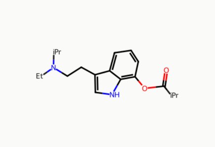 CCN(CCc1c[nH]c2c(OC(=O)C(C)C)cccc12)C(C)C